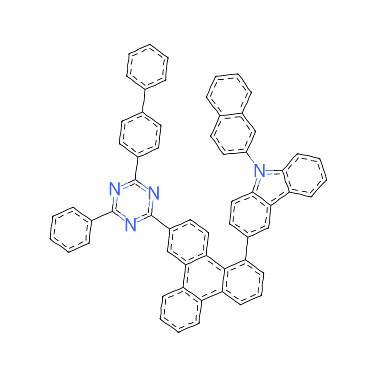 c1ccc(-c2ccc(-c3nc(-c4ccccc4)nc(-c4ccc5c(c4)c4ccccc4c4cccc(-c6ccc7c(c6)c6ccccc6n7-c6ccc7ccccc7c6)c45)n3)cc2)cc1